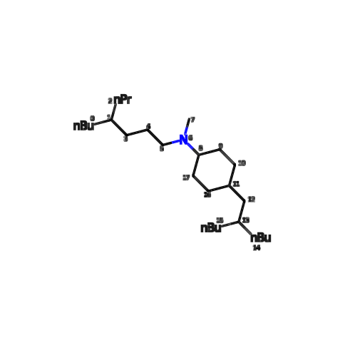 CCCCC(CCC)CCCN(C)C1CCC(CC(CCCC)CCCC)CC1